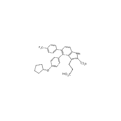 O=C(O)CCc1c(C(=O)O)[nH]c2ccc(-c3ccc(C(F)(F)F)cc3)c(-c3ccc(OC4CCCC4)cc3)c12